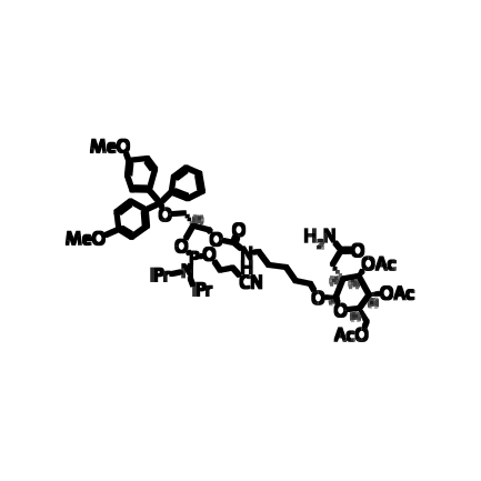 COc1ccc(C(OC[C@H](COC(=O)NCCCCCO[C@@H]2O[C@H](COC(C)=O)[C@H](OC(C)=O)[C@H](OC(C)=O)[C@H]2CC(N)=O)OP(OCCC#N)N(C(C)C)C(C)C)(c2ccccc2)c2ccc(OC)cc2)cc1